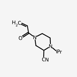 C=CC(=O)N1CCN(C(C)C)C(C#N)C1